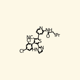 CC(C)CC(=O)Nc1cc(-c2sc(-c3ncc[nH]3)c(-c3ccc(Cl)cc3Cl)c2C#N)ccn1